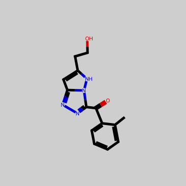 Cc1ccccc1C(=O)c1nnc2cc(CCO)[nH]n12